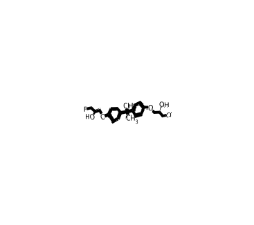 CC(C)(c1ccc(OC[C@H](O)CCl)cc1)c1ccc(OC[C@@H](O)CF)cc1